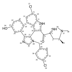 C[C@@H](CC(=N)C(=O)c1[nH]c2cc(Cl)ccc2c1-c1c(-c2cccc(O)c2)ncn1Cc1ccc(Cl)cc1)N(C)C